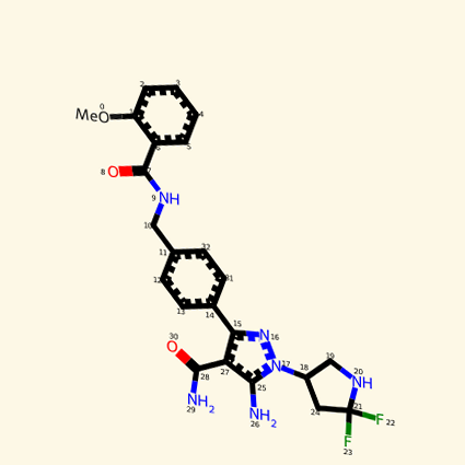 COc1ccccc1C(=O)NCc1ccc(-c2nn(C3CNC(F)(F)C3)c(N)c2C(N)=O)cc1